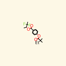 CCC(C)(C)C(=O)Oc1ccc(C(=O)OC(C)C(C)(F)F)cc1